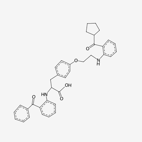 O=C(c1ccccc1)c1ccccc1NC(Cc1ccc(OCCNc2ccccc2C(=O)C2CCCC2)cc1)C(=O)O